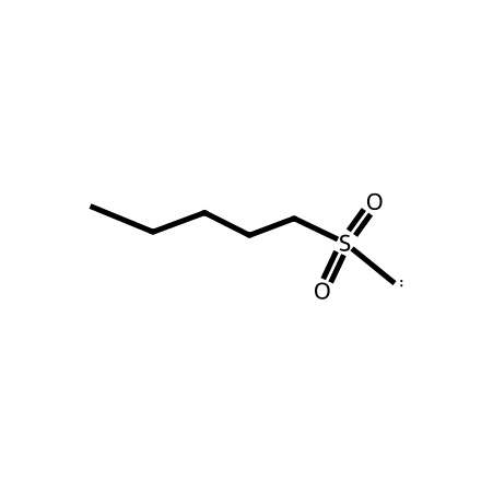 [CH]S(=O)(=O)CCCCC